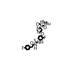 CC(C)(C)C(=O)N(C(=O)C(C)(C)C)c1cc(Oc2ccc(NC(=S)NC(=O)Cc3ccc(F)cc3)cc2F)ncn1